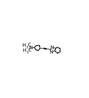 CN(C)c1ccc(C#CC2=Nc3ccccc3[N]2)cc1